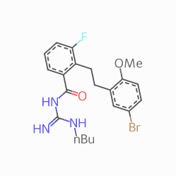 CCCCNC(=N)NC(=O)c1cccc(F)c1CCc1cc(Br)ccc1OC